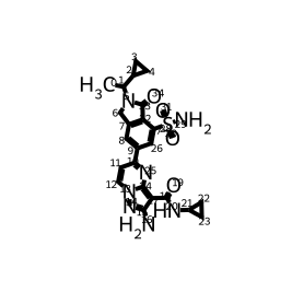 CC(C1CC1)N1Cc2cc(-c3ccn4nc(N)c(C(=O)NC5CC5)c4n3)cc(S(N)(=O)=O)c2C1=O